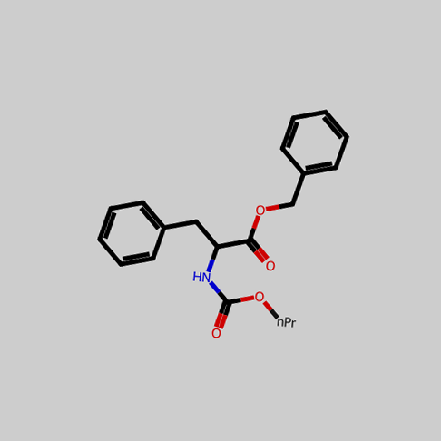 CCCOC(=O)NC(Cc1ccccc1)C(=O)OCc1ccccc1